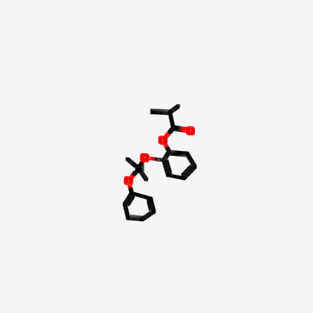 C=C(C)C(=O)Oc1ccccc1O[Si](C)(C)Oc1ccccc1